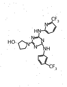 O[C@H]1CCN(c2nc(Nc3cccc(C(F)(F)F)c3)nc(Nc3cccc(C(F)(F)F)n3)n2)C1